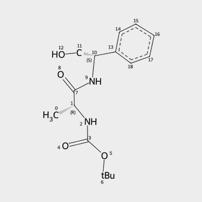 C[C@@H](NC(=O)OC(C)(C)C)C(=O)N[C@H](CO)c1ccccc1